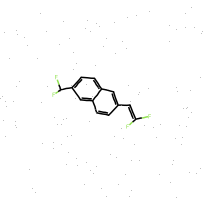 F[C](F)c1ccc2cc(C=C(F)F)ccc2c1